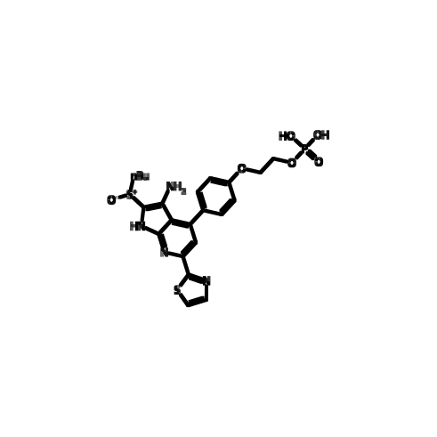 CCCC[S+]([O-])c1[nH]c2nc(-c3nccs3)cc(-c3ccc(OCCOP(=O)(O)O)cc3)c2c1N